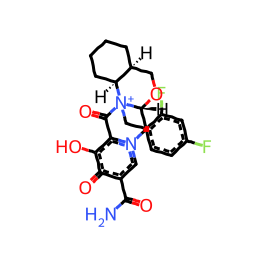 NC(=O)c1cn2c(c(O)c1=O)C(=O)[N+]1(Cc3ccc(F)cc3F)[C@@H](C2)OC[C@@H]2CCCC[C@@H]21